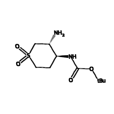 CC(C)(C)OC(=O)N[C@H]1CCS(=O)(=O)C[C@@H]1N